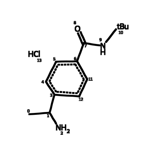 CC(N)c1ccc(C(=O)NC(C)(C)C)cc1.Cl